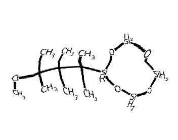 COC(C)(C)C(C)(C)C(C)(C)[SiH]1O[SiH2]O[SiH2]O[SiH2]O1